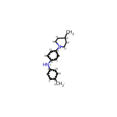 [CH2]c1ccc(Nc2ccc(N3CCC(C)CC3)cc2)cc1